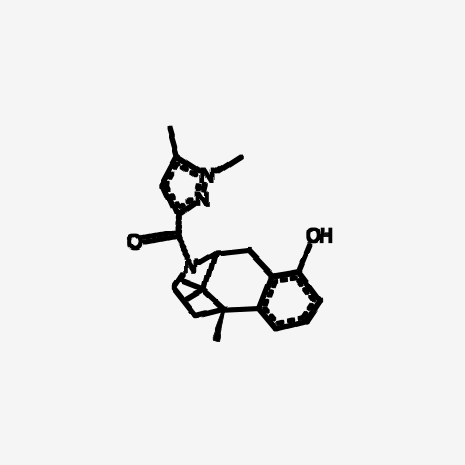 Cc1cc(C(=O)N2CC[C@@]3(C)c4cccc(O)c4CC2C3(C)C)nn1C